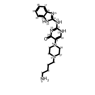 NCCCCN1CCN(c2c[nH]c(Nc3nc4ccccc4[nH]3)nc2=O)CC1